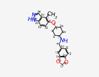 Cc1c(O[C@H]2CC[C@H](NCc3ccc4c(c3)OCO4)CC2)ccc2[nH]ncc12